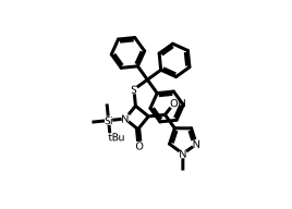 Cn1cc(C(O)C2C(=O)N([Si](C)(C)C(C)(C)C)C2SC(c2ccccc2)(c2ccccc2)c2ccccc2)cn1